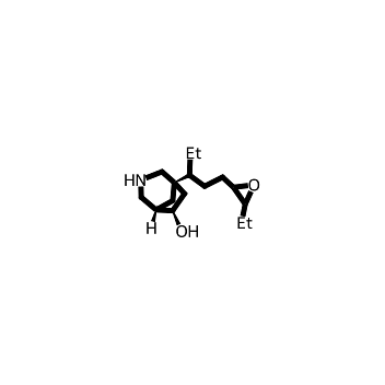 CCC1OC1CCC(CC)[C@]12CNC[C@H](C1)[C@H](O)C2